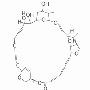 CC1C(O)CC2CC1C/C=C/[C@@H]1O[C@H]3CC(OC3/C=C/C=C\C=C/C(=O)O[C@H]3C=CC(C/C=C/CC/C=C/[C@H](O)C2O)OC3)C1C